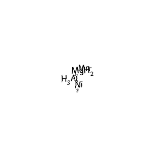 [AlH3].[MgH2].[Mn].[Ni]